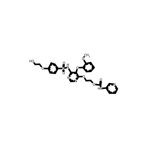 COc1ccccc1Oc1c(NS(=O)(=O)c2ccc(OCCO)cc2)ncnc1OCCOC(=O)Nc1cccnc1